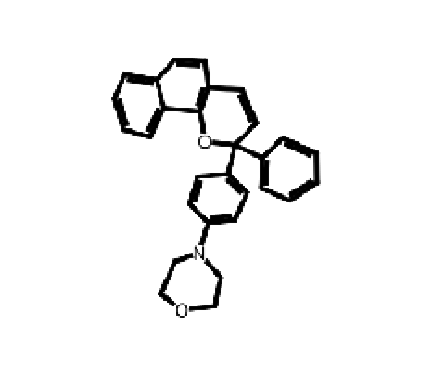 C1=CC(c2ccccc2)(c2ccc(N3CCOCC3)cc2)Oc2c1ccc1ccccc21